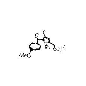 COc1ccc(C(=O)c2c(Cl)cc(CC(=O)O)n2C(C)C)cc1